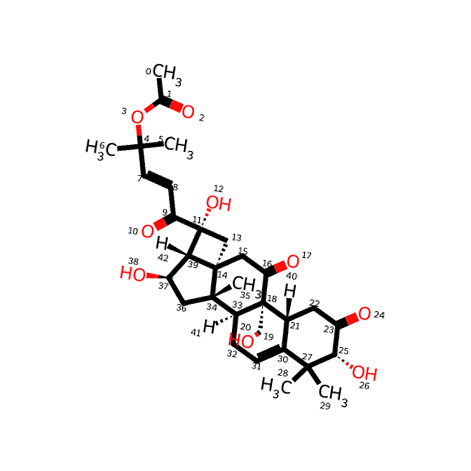 CC(=O)OC(C)(C)/C=C/C(=O)[C@@]1(O)C[C@]23CC(=O)[C@@]4(CO)[C@@H]5CC(=O)[C@H](O)C(C)(C)C5=CC[C@H]4[C@]2(C)C[C@@H](O)[C@@H]31